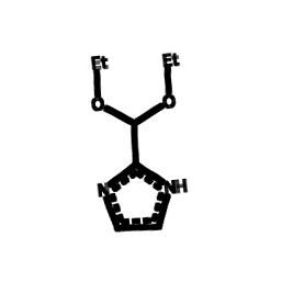 CCOC(OCC)c1ncc[nH]1